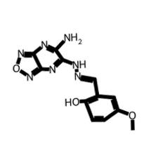 COc1ccc(O)c(C=NNc2nc3nonc3nc2N)c1